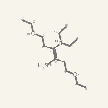 CCOCCC([SiH3])=C(CCOCC)N(CC)CC